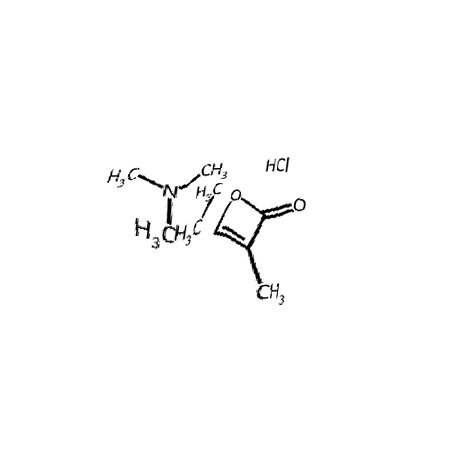 CC.CC1=COC1=O.CN(C)C.Cl